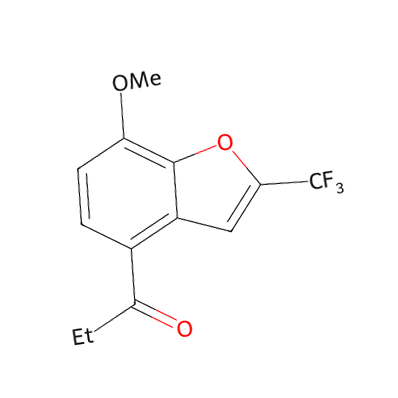 CCC(=O)c1ccc(OC)c2oc(C(F)(F)F)cc12